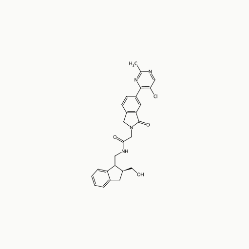 Cc1ncc(Cl)c(-c2ccc3c(c2)C(=O)N(CC(=O)NCC2c4ccccc4C[C@@H]2CO)C3)n1